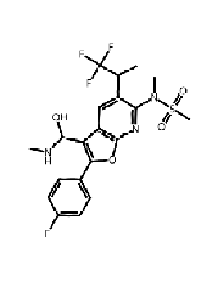 CNC(O)c1c(-c2ccc(F)cc2)oc2nc(N(C)S(C)(=O)=O)c(C(C)C(F)(F)F)cc12